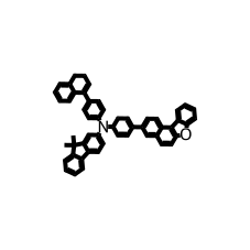 CC1(C)c2ccccc2-c2ccc(N(c3ccc(C4=CCCc5ccccc54)cc3)C3C=CC(c4ccc5c(ccc6oc7ccccc7c65)c4)=CC3)cc21